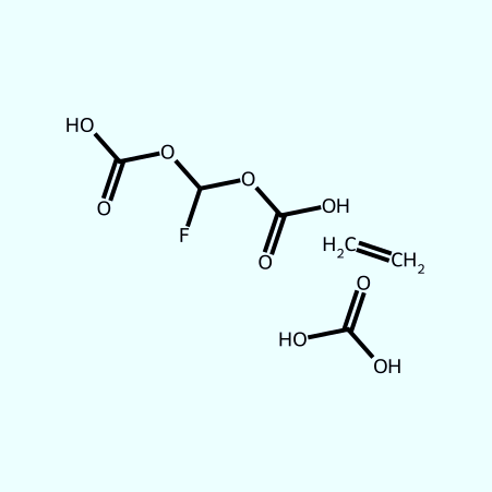 C=C.O=C(O)O.O=C(O)OC(F)OC(=O)O